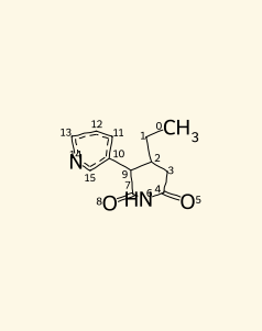 CCC1CC(=O)NC(=O)C1c1cccnc1